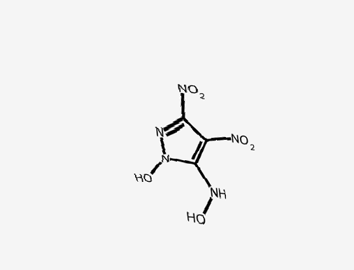 O=[N+]([O-])c1nn(O)c(NO)c1[N+](=O)[O-]